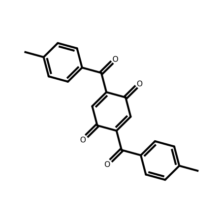 Cc1ccc(C(=O)C2=CC(=O)C(C(=O)c3ccc(C)cc3)=CC2=O)cc1